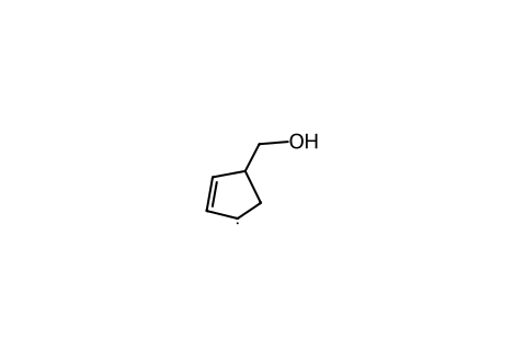 OCC1C=C[CH]C1